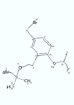 CC(C)(C)[Si](C)(C)OCc1cc(CBr)ccc1OC(F)F